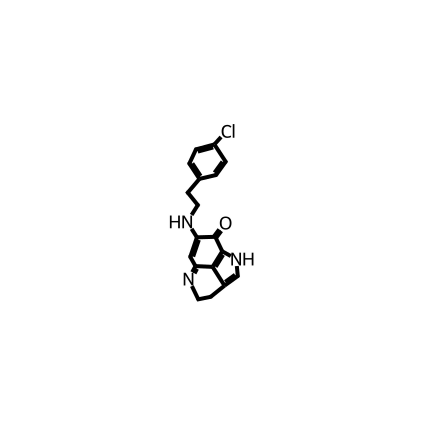 O=C1C(NCCc2ccc(Cl)cc2)=CC2=NCCc3c[nH]c1c32